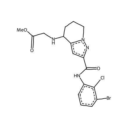 COC(=O)CNC1CCCn2nc(C(=O)Nc3cccc(Br)c3Cl)cc21